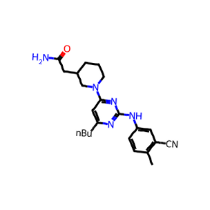 CCCCc1cc(N2CCCC(CC(N)=O)C2)nc(Nc2ccc(C)c(C#N)c2)n1